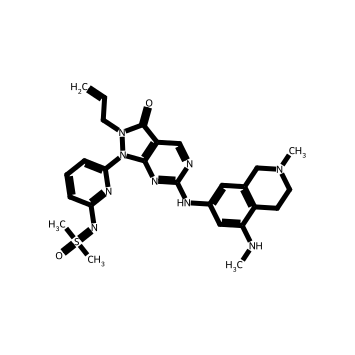 C=CCn1c(=O)c2cnc(Nc3cc4c(c(NC)c3)CCN(C)C4)nc2n1-c1cccc(N=S(C)(C)=O)n1